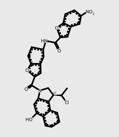 CC(Cl)[C@@H]1CN(C(=O)c2cc3cc(NC(=O)c4cc5cc([N+](=O)[O-])ccc5o4)ccc3o2)c2cc(O)c3ccccc3c21